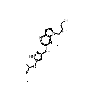 C[C@@H](CO)Cn1ccc2ncc(Nc3cc(OC(F)F)[nH]n3)nc21